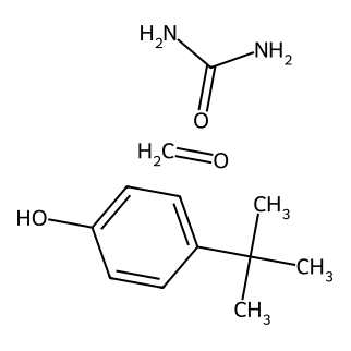 C=O.CC(C)(C)c1ccc(O)cc1.NC(N)=O